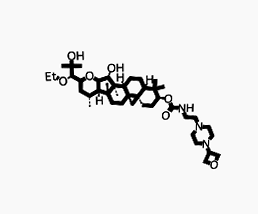 CCO[C@@H](C1C[C@@H](C)[C@H]2C(O1)[C@H](O)[C@@]1(C)[C@H]3CC[C@H]4C(C)(C)[C@@H](OC(=O)NCCN5CCN(C6COC6)CC5)CC[C@@]45C[C@@]35CC[C@]21C)C(C)(C)O